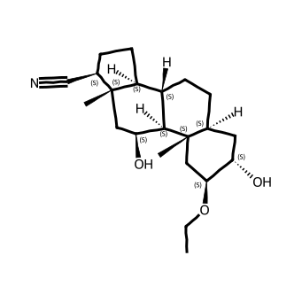 CCO[C@H]1C[C@@]2(C)[C@@H](CC[C@@H]3[C@@H]2[C@@H](O)C[C@]2(C)[C@@H](C#N)CC[C@@H]32)C[C@@H]1O